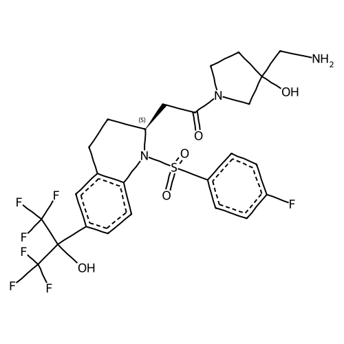 NCC1(O)CCN(C(=O)C[C@@H]2CCc3cc(C(O)(C(F)(F)F)C(F)(F)F)ccc3N2S(=O)(=O)c2ccc(F)cc2)C1